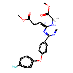 C=N/C(=N\C(=C/CC(=O)OC)N[C@@H](C)C(=O)OC)c1ccc(Oc2ccc(F)cc2)cc1